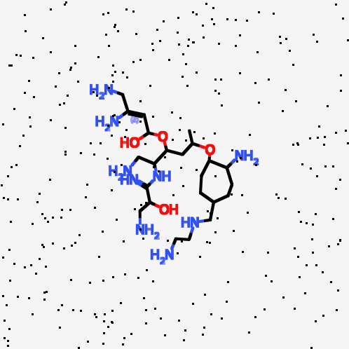 CC(CC(OC(O)/C=C(\N)CN)C(CN)NC(=N)C(O)CN)OC1CCC(CNCCN)CCC1N